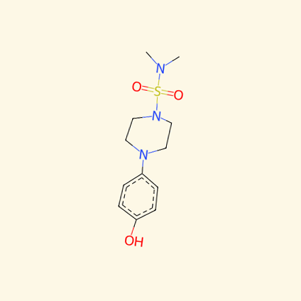 CN(C)S(=O)(=O)N1CCN(c2ccc(O)cc2)CC1